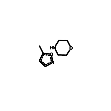 C1COCCN1.Cc1ccno1